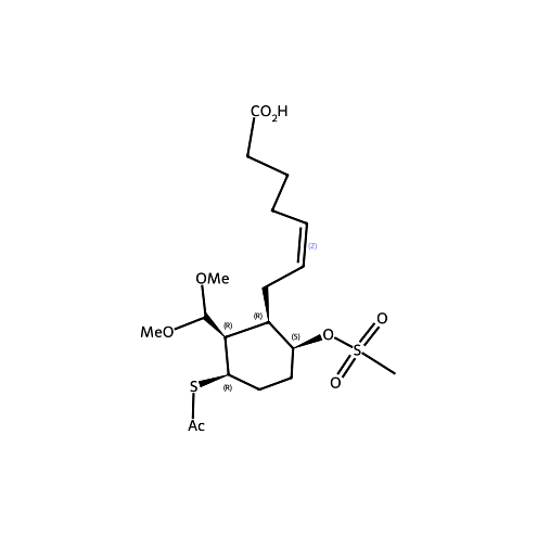 COC(OC)[C@H]1[C@@H](C/C=C\CCCC(=O)O)[C@@H](OS(C)(=O)=O)CC[C@H]1SC(C)=O